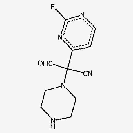 N#CC(C=O)(c1ccnc(F)n1)N1CCNCC1